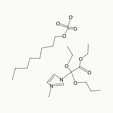 CCCCCCCCOS(=O)(=O)[O-].CCCOC(OCC)(C(=O)OCC)n1cc[n+](C)c1